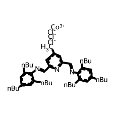 CCCCc1cc(CCCC)c(N=Cc2cc(C)cc(C=Nc3c(CCCC)cc(CCCC)cc3CCCC)n2)c(CCCC)c1.[Cl-].[Cl-].[Cl-].[Co+3]